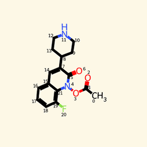 CC(=O)On1c(=O)c(C2CCNCC2)cc2cccc(F)c21